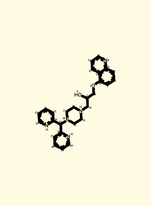 OC(COc1cccc2ncccc12)CN1CCN(C(c2ccccn2)c2ccccn2)CC1